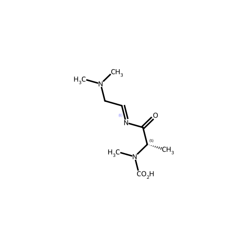 C[C@@H](C(=O)/N=C/CN(C)C)N(C)C(=O)O